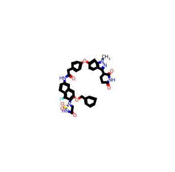 Cn1nc(C2CCC(=O)NC2=O)c2ccc(Oc3ccc(CC(=O)Nc4ccc5c(F)c(N6CC(=O)NS6(=O)=O)c(OCc6ccccc6)cc5c4)cc3)cc21